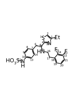 CCc1csc([C@H](Cc2ccc(NS(=O)(=O)O)cc2)NCCc2cccc(F)c2F)n1